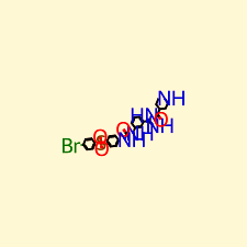 N=C(NC(=O)C1CCNCC1)c1cccc(NC(=O)Nc2ccc(S(=O)(=O)c3ccc(Br)cc3)cc2)c1